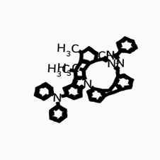 CC1C=CC2(C)C3=C1C(C)c1c(n(c4ccc(N(c5ccccc5)c5ccccc5)cc14)-c1cccc4c1Cc1c(cccc1-4)-c1nc(-c4ccccc4)nc2n1)C3C